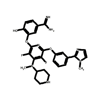 CN(c1c(F)c(Oc2cccc(-c3nccn3C)c2)nc(Oc2cc(C(=N)N)ccc2O)c1F)C1CCNCC1